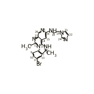 Cc1nc(N[C@H](C)c2cccc(Br)c2)c2cc(NCCn3ccnc3)ncc2n1